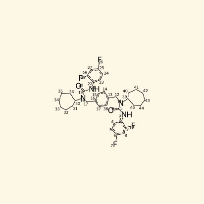 O=C(Nc1ccc(F)cc1F)N(Cc1ccc(CN(C(=O)Nc2ccc(F)cc2F)C2CCCCCC2)cc1)C1CCCCCC1